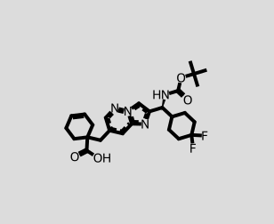 CC(C)(C)OC(=O)N[C@H](c1cn2ncc(CC3(C(=O)O)CC=CCC3)cc2n1)C1CCC(F)(F)CC1